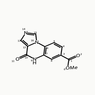 COC(=O)c1ccc2c(c1)[nH]c(=O)c1cncn12